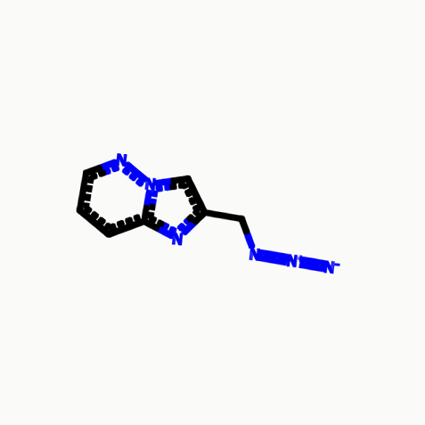 [N-]=[N+]=NCc1cn2ncccc2n1